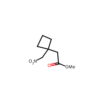 COC(=O)CC1(C[N+](=O)[O-])CCC1